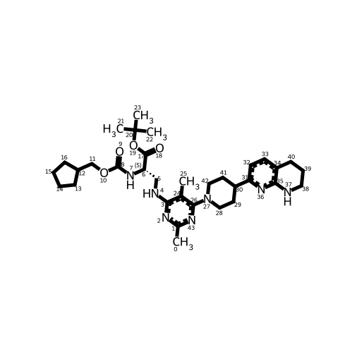 Cc1nc(NC[C@H](NC(=O)OCC2CCCC2)C(=O)OC(C)(C)C)c(C)c(N2CCC(c3ccc4c(n3)NCCC4)CC2)n1